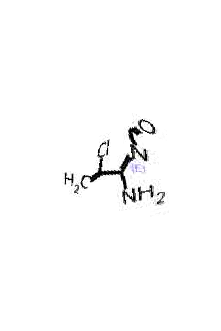 C=C(Cl)/C(N)=N\C=O